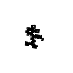 NC(CC=C(Br)Br)c1cccc(Cl)c1Cl